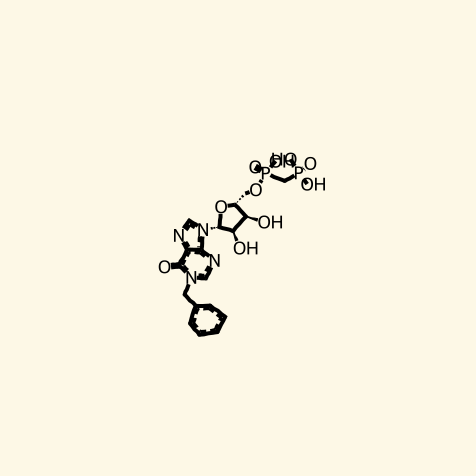 O=c1c2ncn([C@@H]3O[C@H](COP(=O)(O)CP(=O)(O)O)[C@@H](O)[C@H]3O)c2ncn1Cc1ccccc1